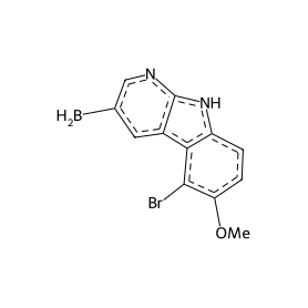 Bc1cnc2[nH]c3ccc(OC)c(Br)c3c2c1